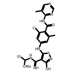 CCC(NC(=N)c1c(O)nsc1Nc1cc(C)c(C(=O)Nc2ncncc2C)c(Cl)c1)OC